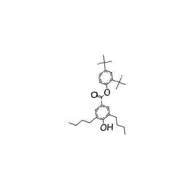 CCCCc1cc(C(=O)Oc2ccc(C(C)(C)C)cc2C(C)(C)C)cc(CCCC)c1O